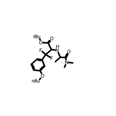 CCCCOc1cccc(C(F)(F)C(NC(C)C(=O)N(C)C)C(=O)OC(C)(C)C)c1